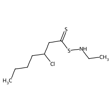 CCCCC(Cl)CC(=S)SNCC